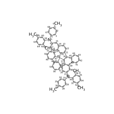 Cc1ccc(N(c2ccc3c4c(ccc3c2)-c2c(c3ccc(N(c5ccc(C)cc5)c5cc(C)ccc5C)cc3c3ccccc23)C4(c2ccccc2)c2ccccc2)c2cc(C)ccc2C)cc1